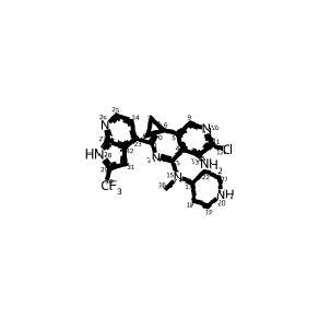 C=C(/N=C(\c1c(C2CC2)cnc(Cl)c1N)N(C)C1CCNCC1)c1ccnc2[nH]c(C(F)(F)F)cc12